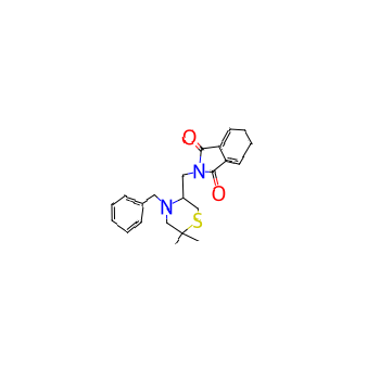 CC1(C)CN(Cc2ccccc2)C(CN2C(=O)C3=CCCC=C3C2=O)CS1